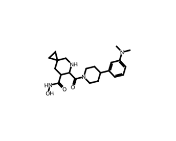 CN(C)c1cccc(C2CCN(C(=O)C3NCC4(CC4)CC3C(=O)NO)CC2)c1